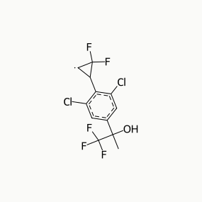 CC(O)(c1cc(Cl)c(C2[CH]C2(F)F)c(Cl)c1)C(F)(F)F